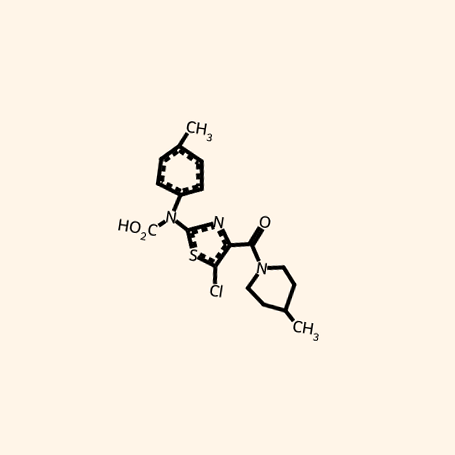 Cc1ccc(N(C(=O)O)c2nc(C(=O)N3CCC(C)CC3)c(Cl)s2)cc1